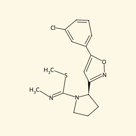 C/N=C(\SC)N1CCC[C@@H]1c1cc(-c2cccc(Cl)c2)on1